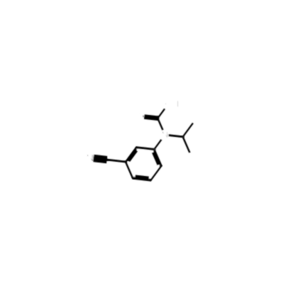 CC(C)N(C(=O)O)c1cccc(C#N)c1